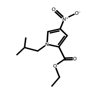 CCOC(=O)c1cc([N+](=O)[O-])cn1CC(C)C